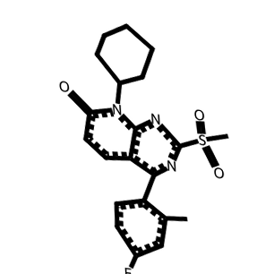 Cc1cc(F)ccc1-c1nc(S(C)(=O)=O)nc2c1ccc(=O)n2C1CCCCC1